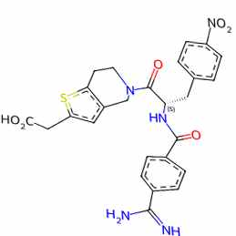 N=C(N)c1ccc(C(=O)N[C@@H](Cc2ccc([N+](=O)[O-])cc2)C(=O)N2CCc3sc(CC(=O)O)cc3C2)cc1